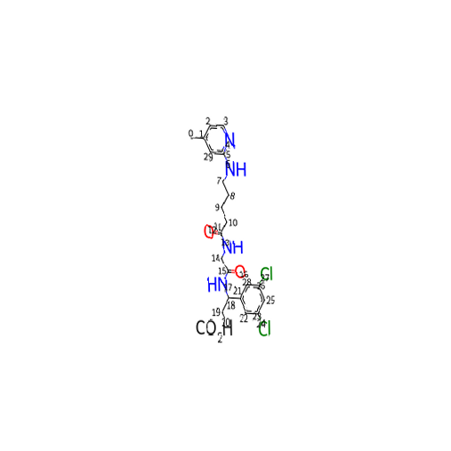 Cc1ccnc(NCCCCC(=O)NCC(=O)NC(CC(=O)O)c2cc(Cl)cc(Cl)c2)c1